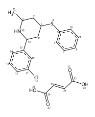 CC1CC(Sc2ccccc2)CC(c2cccc(Cl)c2)N1.O=C(O)/C=C/C(=O)O